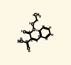 CCOOC(=O)C(=Cc1ccccc1)C(=O)O